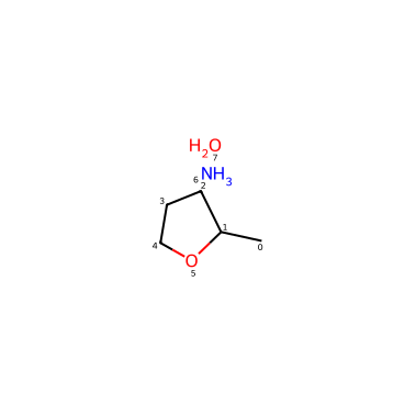 CC1CCCO1.N.O